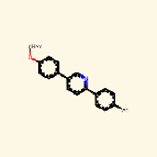 CCCCCCOc1ccc(-c2ccc(-c3ccc(C(C)=O)cc3)nc2)cc1